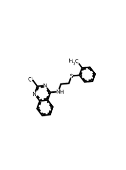 Cc1ccccc1SCCNc1nc(Cl)nc2ccccc12